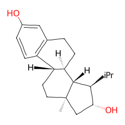 CC(C)[C@@H]1[C@H]2[C@@H]3CCc4cc(O)ccc4[C@H]3CC[C@]2(C)C[C@H]1O